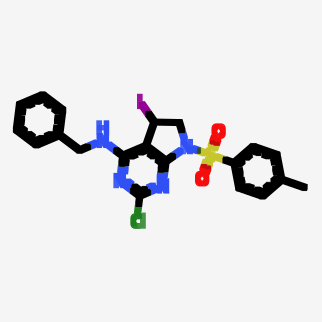 Cc1ccc(S(=O)(=O)N2CC(I)c3c(NCc4ccccc4)nc(Cl)nc32)cc1